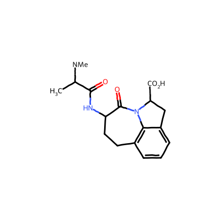 CNC(C)C(=O)NC1CCc2cccc3c2N(C1=O)C(C(=O)O)C3